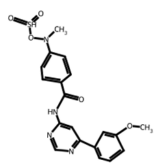 COc1cccc(-c2cc(NC(=O)c3ccc(N(C)O[SH](=O)=O)cc3)ncn2)c1